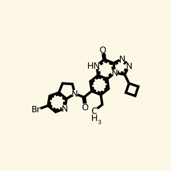 CCc1cc2c(cc1C(=O)N1CCc3cc(Br)cnc31)[nH]c(=O)c1nnc(C3CCC3)n12